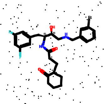 CCc1cccc(CNC[C@H](O)[C@H](Cc2cc(F)cc(F)c2)NC(=O)CCC2CCCCC2=O)c1